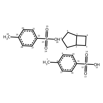 C1CC2CCC2C1.Cc1ccc(S(=O)(=O)O)cc1.Cc1ccc(S(=O)(=O)O)cc1